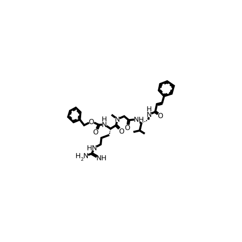 CC(C)[C@@H](CNC(=O)/C=C/c1ccccc1)NC(=O)CN(C)C(=O)[C@H](CCCNC(=N)N)NC(=O)OCc1ccccc1